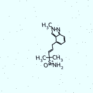 Cn1cc2c(CC=CC(C)(C)[S@@+](N)[O-])cccc2n1